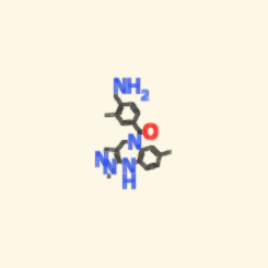 Cc1ccc2c(c1)N(C(=O)c1ccc(CN)c(C)c1)Cc1cnn(C)c1N2